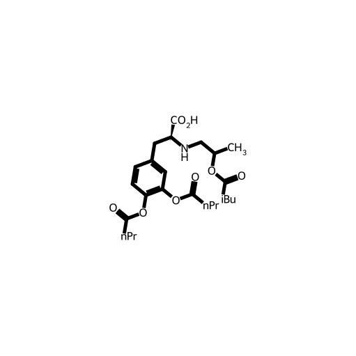 CCCC(=O)Oc1ccc(C[C@H](NCC(C)OC(=O)C(C)CC)C(=O)O)cc1OC(=O)CCC